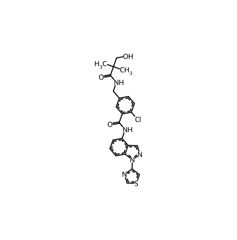 CC(C)(CO)C(=O)NCc1ccc(Cl)c(C(=O)Nc2cccc3c2cnn3-c2cscn2)c1